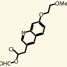 COCCOc1ccc2cc(CC(Cl)OC=O)cnc2c1